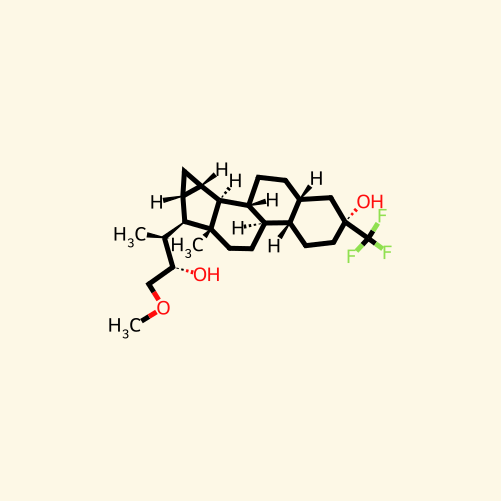 COC[C@@H](O)[C@@H](C)[C@H]1[C@@H]2C[C@@H]2[C@H]2[C@@H]3CC[C@@H]4C[C@@](O)(C(F)(F)F)CC[C@@H]4[C@H]3CC[C@@]21C